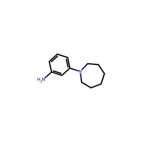 Nc1cccc(N2CCCCCC2)c1